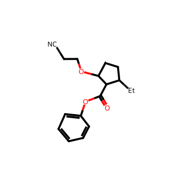 [CH2]CC1C[CH]C(OCCC#N)C1C(=O)Oc1ccccc1